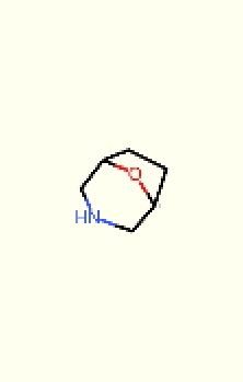 C1CC2CNC[C]1O2